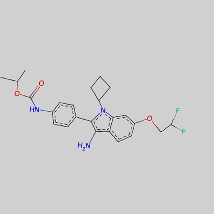 CC(C)OC(=O)Nc1ccc(-c2c(N)c3ccc(OCC(F)F)cc3n2C2CCC2)cc1